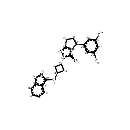 O=c1n2c(nn1[C@H]1C[C@H](Oc3noc4ccccc34)C1)CC[C@H]2c1cc(F)cc(F)c1